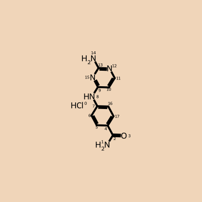 Cl.NC(=O)c1ccc(Nc2ccnc(N)n2)cc1